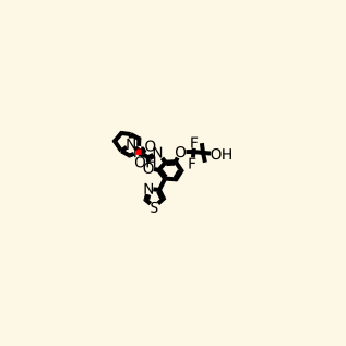 CC(C)(O)C(F)(F)Oc1ccc(-c2cscn2)c2oc(N3CC4CCC(C3)N4C(=O)O)nc12